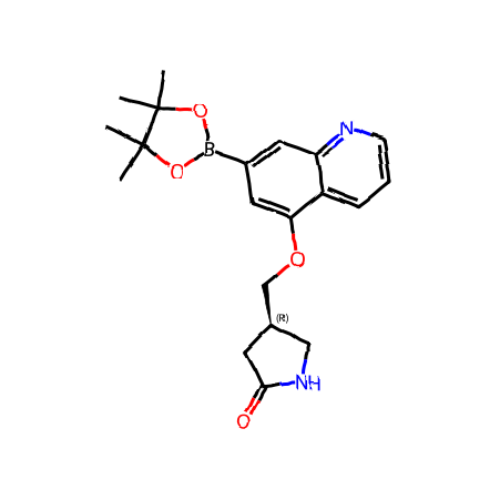 CC1(C)OB(c2cc(OC[C@H]3CNC(=O)C3)c3cccnc3c2)OC1(C)C